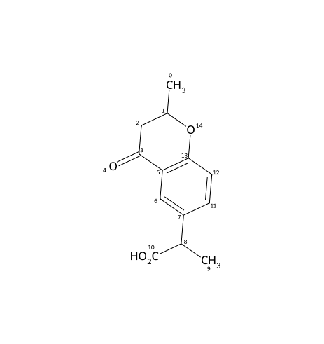 CC1CC(=O)c2cc(C(C)C(=O)O)ccc2O1